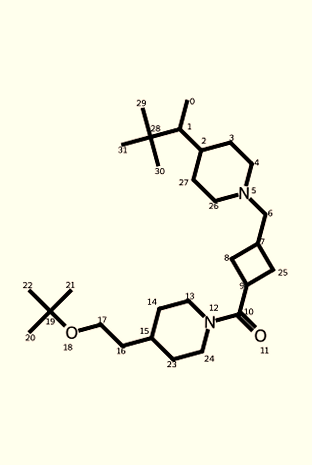 CC(C1CCN(CC2CC(C(=O)N3CCC(CCOC(C)(C)C)CC3)C2)CC1)C(C)(C)C